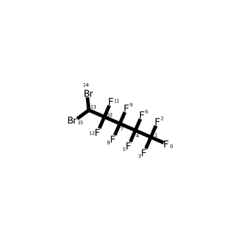 FC(F)(F)C(F)(F)C(F)(F)C(F)(F)[C](Br)Br